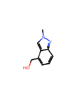 Cn1cc2c(CO)cccc2n1